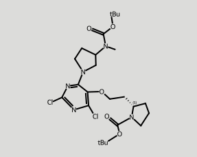 CN(C(=O)OC(C)(C)C)C1CCN(c2nc(Cl)nc(Cl)c2OCC[C@@H]2CCCN2C(=O)OC(C)(C)C)C1